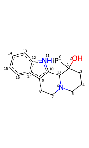 CC(C)C1(O)CCCN2CCc3c([nH]c4ccccc34)C21